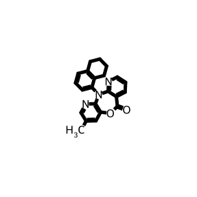 Cc1cnc2c(c1)OC(=O)c1cccnc1N2c1cccc2c1CCCC2